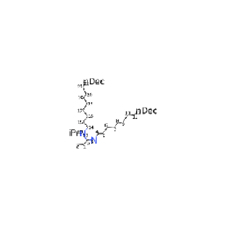 C=CC(=NCCCCCCCCCCCCCCCCCC)N(CCCCCCCCCCCCCCCCCC)C(C)C